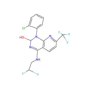 OC1N=C(NCC(F)F)c2ccc(C(F)(F)F)nc2N1c1ccccc1Cl